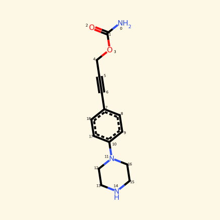 NC(=O)OCC#Cc1ccc(N2CCNCC2)cc1